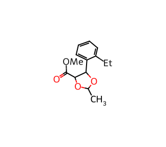 CCc1ccccc1C1OC(C)OC1C(=O)OC